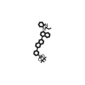 CCc1nc2ccccc2n1-c1ccc(-c2ccc3cc(-c4cccc(B5OC(C)(C)C(C)(C)O5)c4)ccc3c2)c2ccccc12